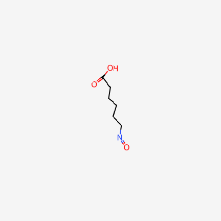 O=NCCCCCC(=O)O